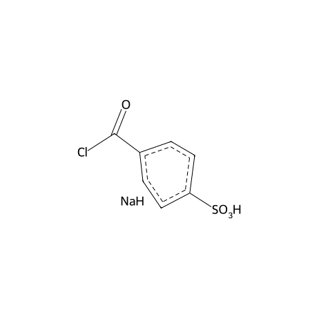 O=C(Cl)c1ccc(S(=O)(=O)O)cc1.[NaH]